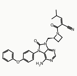 CC(C)/C=C(/C#N)C(=O)N1CC[C@H]1Cn1c(=O)n(-c2ccc(Oc3ccccc3)cc2)c2c(N)ncnc21